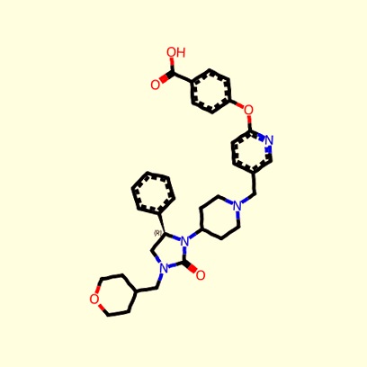 O=C(O)c1ccc(Oc2ccc(CN3CCC(N4C(=O)N(CC5CCOCC5)C[C@H]4c4ccccc4)CC3)cn2)cc1